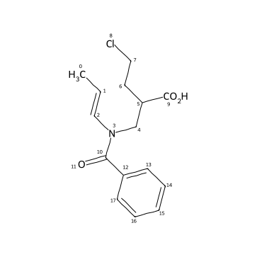 CC=CN(CC(CCCl)C(=O)O)C(=O)c1ccccc1